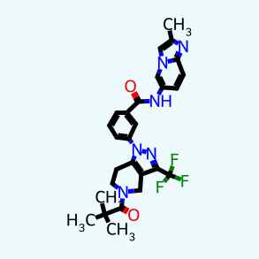 Cc1cn2cc(NC(=O)c3cccc(-n4nc(C(F)(F)F)c5c4CCN(C(=O)C(C)(C)C)C5)c3)ccc2n1